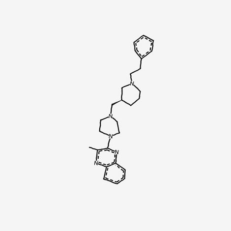 Cc1nc2ccccc2nc1N1CCN(C[C@@H]2CCCN(CCc3ccccc3)C2)CC1